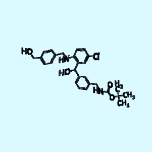 CC(C)(C)OC(=O)NCc1cccc(C(O)c2cc(Cl)ccc2NCc2ccc(CO)cc2)c1